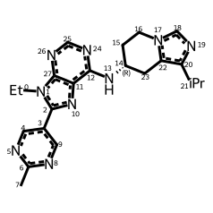 CCn1c(-c2cnc(C)nc2)nc2c(N[C@@H]3CCn4cnc(C(C)C)c4C3)ncnc21